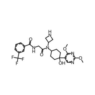 COc1ncc(C2(O)CCC(N(C(=O)CNC(=O)c3cccc(C(F)(F)F)c3)C3CNC3)CC2)c(OC)n1